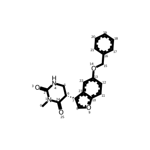 CN1C(=O)NC[C@H](c2coc3ccc(OCc4ccccc4)cc23)C1=O